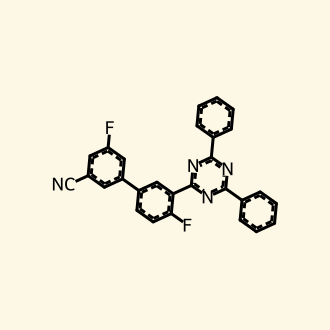 N#Cc1cc(F)cc(-c2ccc(F)c(-c3nc(-c4ccccc4)nc(-c4ccccc4)n3)c2)c1